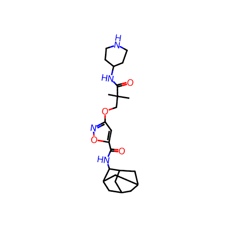 CC(C)(COc1cc(C(=O)NC2C3CC4CC(C3)CC2C4)on1)C(=O)NC1CCNCC1